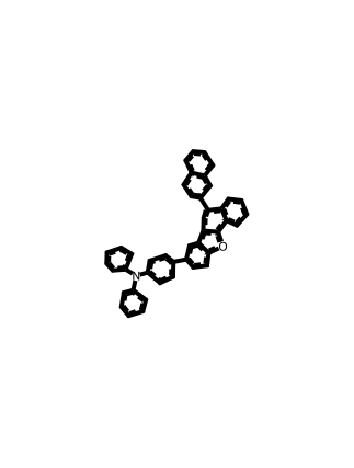 c1ccc(N(c2ccccc2)c2ccc(-c3ccc4oc5c6ccccc6c(-c6ccc7ccccc7c6)cc5c4c3)cc2)cc1